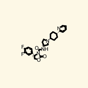 O=C(N[C@@H]1CCN([C@H]2CC[C@@H](c3ccccn3)CC2)C1)N1C(=O)OC[C@@H]1c1ccc(F)c(F)c1